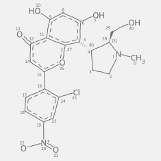 CN1CC[C@H](c2c(O)cc(O)c3c(=O)cc(-c4ccc([N+](=O)[O-])cc4Cl)oc23)[C@H]1CO